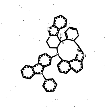 C1=CCC2C(=C1)[C@H]1c3c(oc4ccccc34)CCC1N(c1ccc3c4ccccc4n(-c4ccccc4)c3c1)c1cccc3ccc4nc2oc4c13